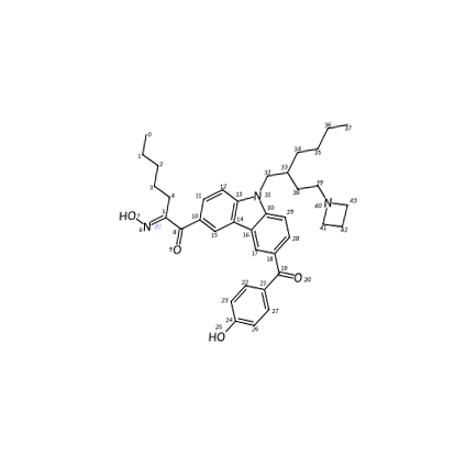 CCCCC/C(=N\O)C(=O)c1ccc2c(c1)c1cc(C(=O)c3ccc(O)cc3)ccc1n2CC(CCCC)CCN1CCC1